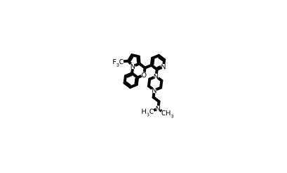 CN(C)CCN1CCN(c2ncccc2C2Oc3ccccc3-n3c2ccc3C(F)(F)F)CC1